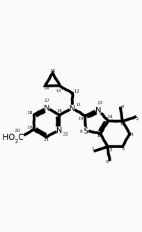 CC1(C)CCC(C)(C)c2sc(N(CC3CC3)c3ncc(C(=O)O)cn3)nc21